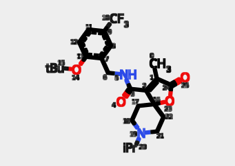 CC1=C(C(=O)NCc2cc(C(F)(F)F)ccc2OC(C)(C)C)C2(CCN(C(C)C)CC2)OC1=O